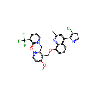 COc1ccnc(Cn2cccc(C(F)(F)F)c2=O)c1COc1cccc2c(C3=C(Cl)CC=N3)cc(C)nc12